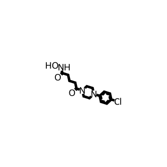 O=C(CCCC(=O)N1CCN(c2ccc(Cl)cc2)CC1)NO